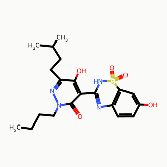 CCCCn1nc(CCC(C)C)c(O)c(C2=Nc3ccc(O)cc3S(=O)(=O)N2)c1=O